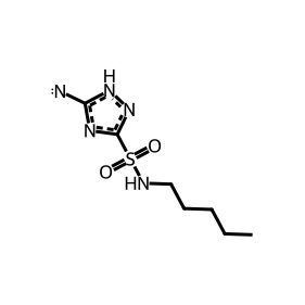 CCCCCNS(=O)(=O)c1n[nH]c([N])n1